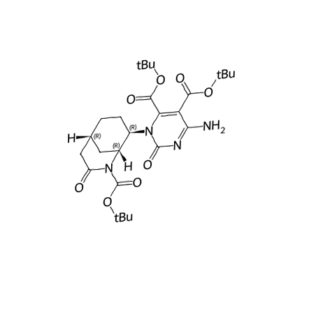 CC(C)(C)OC(=O)c1c(N)nc(=O)n([C@@H]2CC[C@H]3CC(=O)N(C(=O)OC(C)(C)C)[C@@H]2C3)c1C(=O)OC(C)(C)C